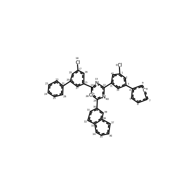 Clc1cc(-c2ccccc2)cc(-c2nc(-c3cc(Cl)cc(-c4ccccc4)c3)[o+]c(-c3ccc4ccccc4c3)n2)c1